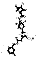 Cc1cccc(CNC(=O)Cc2nc(N3C[C@@H]4[C@H](C3)[C@@H]4NC(=O)c3[nH]c(C)c(Cl)c3Cl)sc2C(=O)O)c1